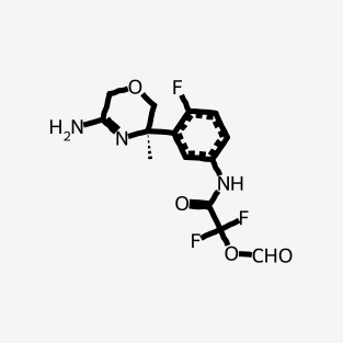 C[C@@]1(c2cc(NC(=O)C(F)(F)OC=O)ccc2F)COCC(N)=N1